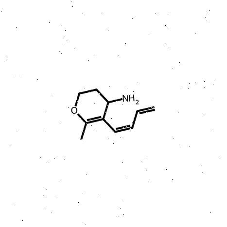 C=C/C=C\C1=C(C)OCCC1N